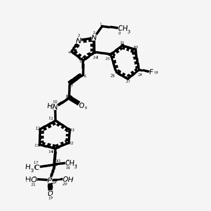 CCn1ncc(C=CC(=O)Nc2ccc(C(C)(C)P(=O)(O)O)cc2)c1-c1ccc(F)cc1